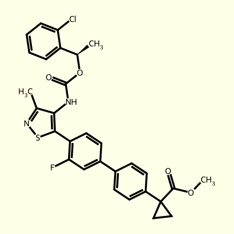 COC(=O)C1(c2ccc(-c3ccc(-c4snc(C)c4NC(=O)O[C@H](C)c4ccccc4Cl)c(F)c3)cc2)CC1